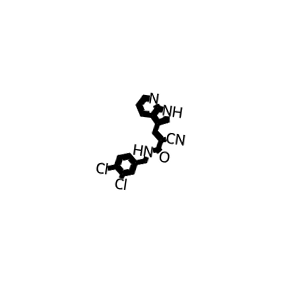 N#C/C(=C\c1c[nH]c2ncccc12)C(=O)NCc1ccc(Cl)c(Cl)c1